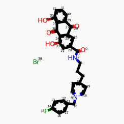 O=C(NCCCc1cc[n+](Cc2ccc(F)cc2)cc1)c1cc(O)c2c(c1)C(=O)c1cccc(O)c1C2=O.[Br-]